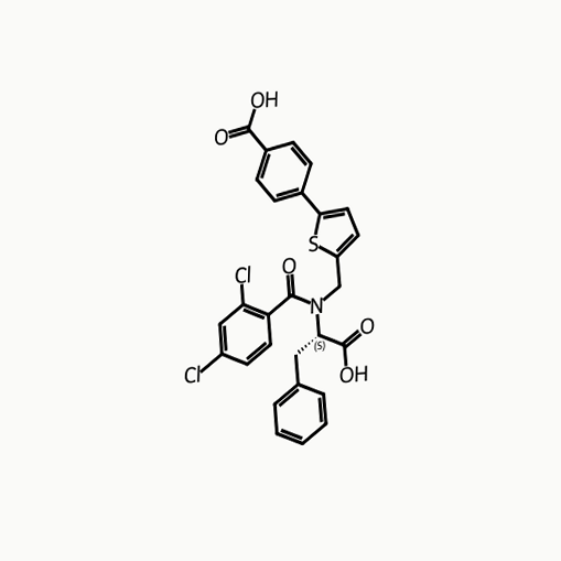 O=C(O)c1ccc(-c2ccc(CN(C(=O)c3ccc(Cl)cc3Cl)[C@@H](Cc3ccccc3)C(=O)O)s2)cc1